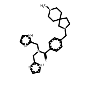 CN1CCC2(CC1)CCN(Cc1ccc(C(=O)N(Cc3ncc[nH]3)Cc3ncc[nH]3)cc1)C2